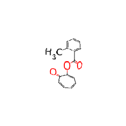 Cc1ccccc1C(=O)Oc1cccccc1=O